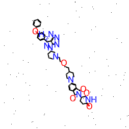 Nc1ncnc2c1c(-c1ccc(Oc3ccccc3)cc1)nn2C1CCCN(CCOCCC2CCN(c3ccc4c(c3)C(=O)N(C3CCC(=O)NC3=O)C4=O)CC2)C1